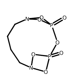 O=P12ON(CCCCN3OP(=O)(O3)O1)O2